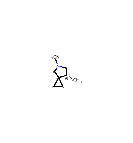 C[C@H]1CN(C#N)CC12CC2